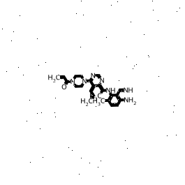 C=C/C=c1/c(N2CCN(C(=O)C=C)CC2)ncn/c1=C(/C)Nc1c(C)ccc(N)c1C=N